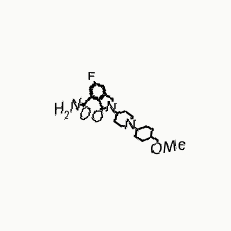 COCC1CCC(N2CCC(N3Cc4cc(F)cc(C(N)=O)c4C3=O)CC2)CC1